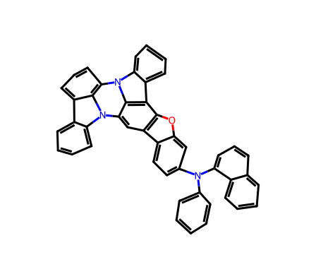 c1ccc(N(c2ccc3c(c2)oc2c3cc3c4c2c2ccccc2n4c2cccc4c5ccccc5n3c42)c2cccc3ccccc23)cc1